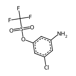 Nc1cc(Cl)cc(OS(=O)(=O)C(F)(F)F)c1